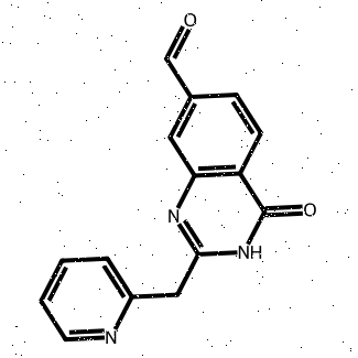 O=Cc1ccc2c(=O)[nH]c(Cc3ccccn3)nc2c1